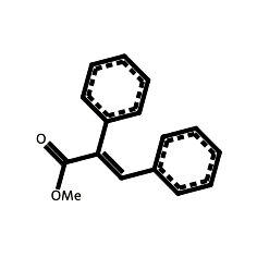 COC(=O)/C(=C/c1ccccc1)c1ccccc1